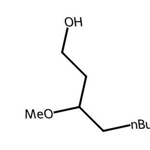 CCCCCC(CCO)OC